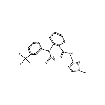 Cc1csc(NC(=O)c2ccccc2N(c2cccc(C(F)(F)F)c2)[SH](=O)=O)n1